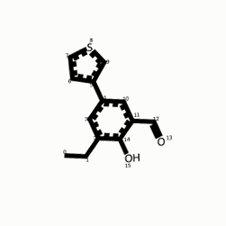 CCc1cc(-c2ccsc2)cc(C=O)c1O